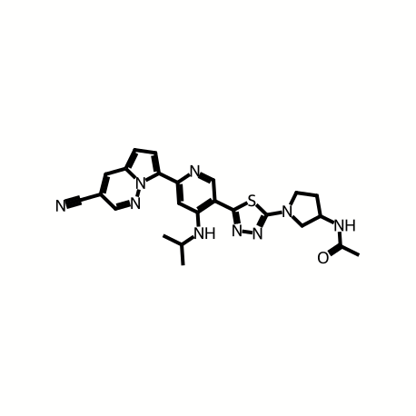 CC(=O)NC1CCN(c2nnc(-c3cnc(-c4ccc5cc(C#N)cnn45)cc3NC(C)C)s2)C1